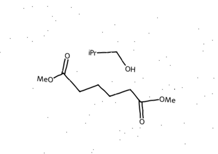 CC(C)CO.COC(=O)CCCCC(=O)OC